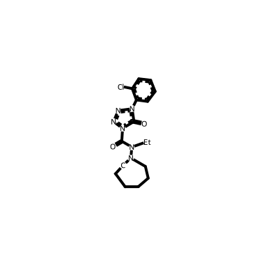 CCN(C(=O)n1nnn(-c2ccccc2Cl)c1=O)N1CCCCCC1